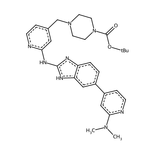 CN(C)c1cc(-c2ccc3nc(Nc4cc(CN5CCN(C(=O)OC(C)(C)C)CC5)ccn4)[nH]c3c2)ccn1